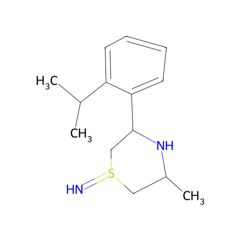 CC1CS(=N)CC(c2ccccc2C(C)C)N1